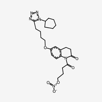 O=C(CCCO[N+](=O)[O-])N1C(=O)CCc2cc(OCCCCc3nnnn3C3CCCCC3)ccc21